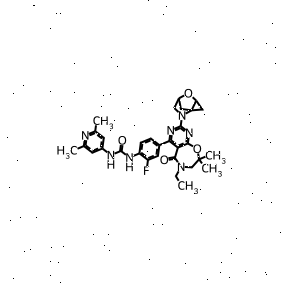 CCN1CC(C)(C)Oc2nc(N3CC4CC35CC5O4)nc(-c3ccc(NC(=O)Nc4cc(C)nc(C)c4)c(F)c3)c2C1=O